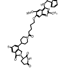 COc1cc2c(NC(C)c3cccc(Br)c3)nc(C)nc2cc1OCCCCC(=O)N1CCC(c2cc(F)cc3c2CN(C2CCC(=O)NC2=O)C3=O)CC1